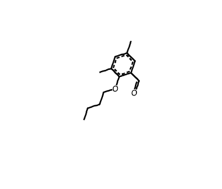 CCCCOc1c(C)cc(C)cc1C=O